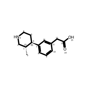 C[C@@H]1CNCC[C@H]1c1cccc(CC(=O)O)c1